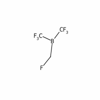 FCB(C(F)(F)F)C(F)(F)F